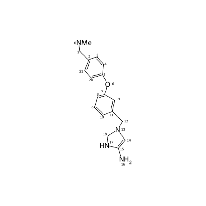 CNCc1ccc(Oc2cccc(CN3C=C(N)NC3)c2)cc1